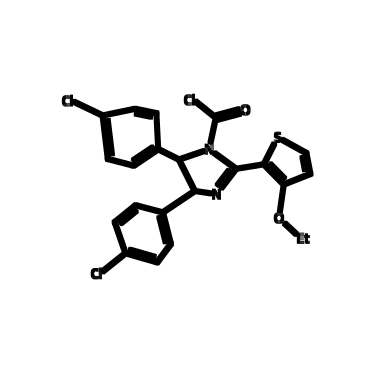 CCOc1ccsc1C1=NC(c2ccc(Cl)cc2)C(c2ccc(Cl)cc2)N1C(=O)Cl